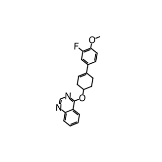 COc1ccc(C2=CCC(Oc3ncnc4ccccc34)CC2)cc1F